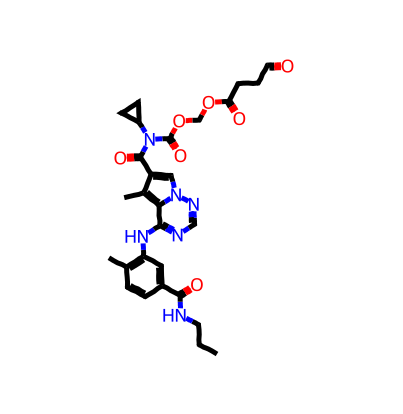 CCCNC(=O)c1ccc(C)c(Nc2ncnn3cc(C(=O)N(C(=O)OCOC(=O)CCC=O)C4CC4)c(C)c23)c1